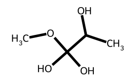 COC(O)(O)C(C)O